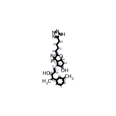 Cc1cccc(C(C)[C@H](O)/C=C/[C@@H]2C3C(C[C@H]2O)O/C(=C\CCCc2nnn[nH]2)C3(F)F)c1